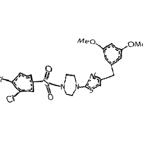 COc1cc(Cc2csc(N3CCN(S(=O)(=O)c4ccc(Cl)c(Cl)c4)CC3)n2)cc(OC)c1